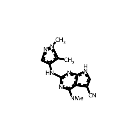 CNc1nc(Nc2cnn(C)c2C)nc2[nH]cc(C#N)c12